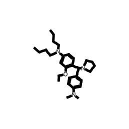 CCCCN(CCCC)c1ccc(C(c2ccc(N(C)C)cc2)N2CCCC2)c(OCC)c1